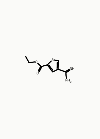 CCOC(=O)c1cc(C(=N)N)cs1